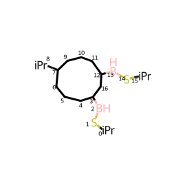 CC(C)SBC1CCCC(C(C)C)CCCC(BSC(C)C)C1